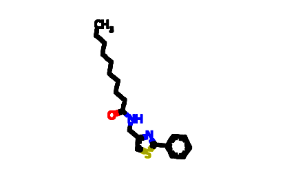 CCCCCCCCCC(=O)NCc1csc(-c2ccccc2)n1